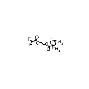 CCC(C)(C)C(=O)OCCOC(=O)C(F)F